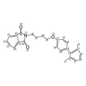 Cc1cccc(C)c1-c1ccc(OCCCCN2C(=O)c3ccccc3C2=O)cc1